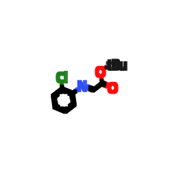 CC(C)(C)OC(=O)C=Nc1ccccc1Cl